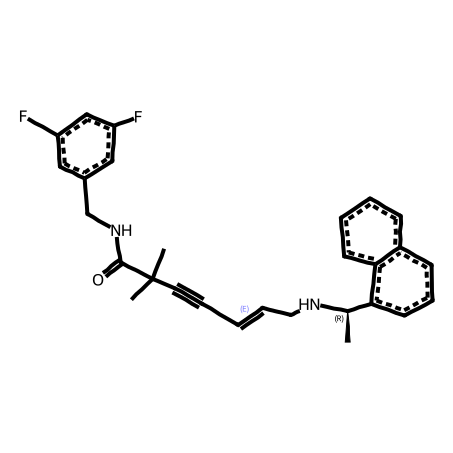 C[C@@H](NC/C=C/C#CC(C)(C)C(=O)NCc1cc(F)cc(F)c1)c1cccc2ccccc12